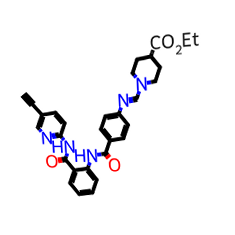 C#Cc1ccc(NC(=O)c2ccccc2NC(=O)c2ccc(N=CN3CCC(C(=O)OCC)CC3)cc2)nc1